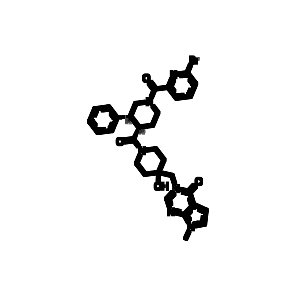 Cn1ccc2c(=O)n(CC3(O)CCN(C(=O)[C@@H]4CCN(C(=O)c5cccc(Br)n5)C[C@H]4c4ccccc4)CC3)cnc21